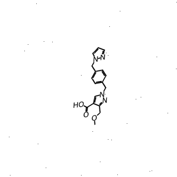 COCc1nn(Cc2ccc(Cn3cccn3)cc2)cc1C(=O)O